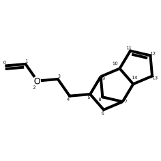 C=COCCC1CC2CC1C1C=CCC21